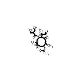 C=C1C(=O)O[C@H]2/C=C(/C)[C@H](OC(C)=O)C[C@@H]3O[C@]3(C)C[C@@H](OC(=O)/C(=C/C)CO)[C@@H]12